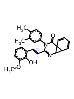 COc1cccc(/C=C/C2=NC3C4C=CC=CC43C(=O)N2c2ccc(C)c(C)c2)c1O